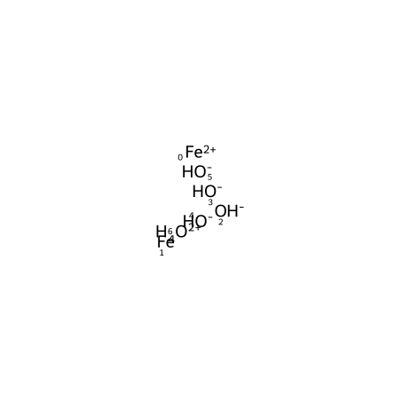 [Fe+2].[Fe].[OH-].[OH-].[OH-].[OH-].[OH4+2]